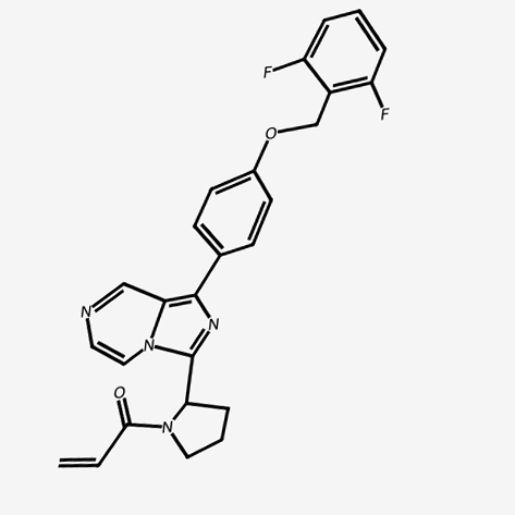 C=CC(=O)N1CCCC1c1nc(-c2ccc(OCc3c(F)cccc3F)cc2)c2cnccn12